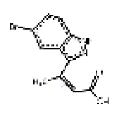 C/C(=C/C(=O)O)c1n[nH]c2ccc(Br)cc12